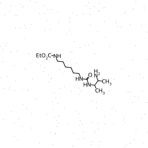 CCOC(=O)NCCCCCCNC(=O)NC(C)C(C)N